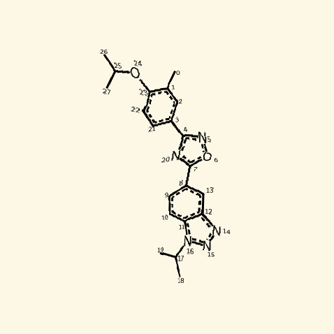 Cc1cc(-c2noc(-c3ccc4c(c3)nnn4C(C)C)n2)ccc1OC(C)C